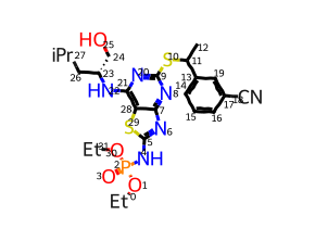 CCOP(=O)(Nc1nc2nc(SC(C)c3cccc(C#N)c3)nc(N[C@@H](CO)CC(C)C)c2s1)OCC